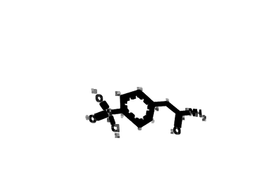 NC(=O)Cc1ccc(S(=O)(=O)Cl)cc1